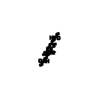 Br.Br.C=CC(=O)NCCC(Cc1ccc(CC(CCNC(=O)C=C)N(C)C)cc1)N(C)C